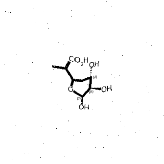 CC(C(=O)O)C1O[C@H](O)[C@H](O)[C@H]1O